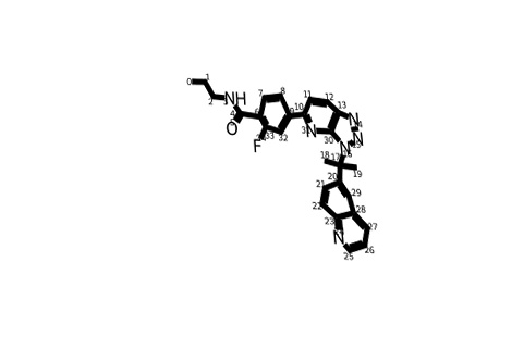 CCCNC(=O)c1ccc(-c2ccc3nnn(C(C)(C)c4ccc5ncccc5c4)c3n2)cc1F